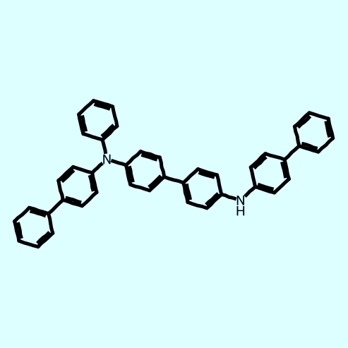 c1ccc(-c2ccc(Nc3ccc(-c4ccc(N(c5ccccc5)c5ccc(-c6ccccc6)cc5)cc4)cc3)cc2)cc1